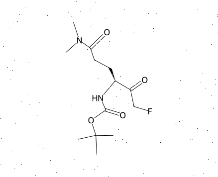 CN(C)C(=O)CC[C@H](NC(=O)OC(C)(C)C)C(=O)CF